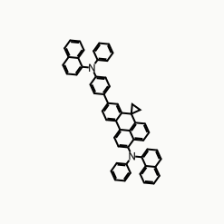 c1ccc(N(c2ccc(-c3ccc4c(c3)C3(CC3)c3cccc5c(N(c6ccccc6)c6cccc7ccccc67)ccc-4c35)cc2)c2cccc3ccccc23)cc1